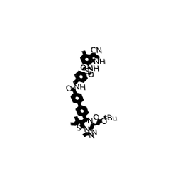 Cc1sc2c(c1C)C(c1ccc(-c3ccc(C(=O)NCc4ccc(S(=O)(=O)Nc5ccc(C)c6c(C#N)c[nH]c56)cc4)cc3)cc1)=N[C@@H](CC(=O)OC(C)(C)C)c1nnc(C)n1-2